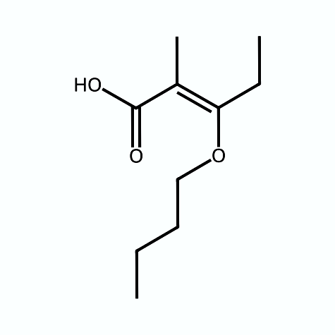 CCCCOC(CC)=C(C)C(=O)O